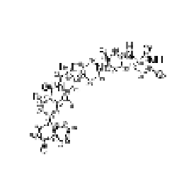 COc1cc(-c2cn(C)c(=O)c3cnccc23)cc(F)c1C(=O)N1CCC(N2CCN(c3ccc(NC4CCC(=O)NC4=O)cc3F)CC2)C(F)(F)C1